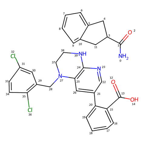 NC(=O)C1Cc2ccccc2C1.O=C(O)c1ccccc1-c1cnc2c(c1)N(Cc1cc(Cl)ccc1Cl)CCN2